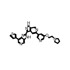 c1cc(-c2cncc3[nH]c(-c4n[nH]c5cnc(-c6cncc(OCCN7CCCC7)c6)cc45)nc23)cs1